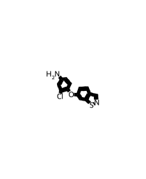 Nc1ccc(Oc2ccc3cnsc3c2)c(Cl)c1